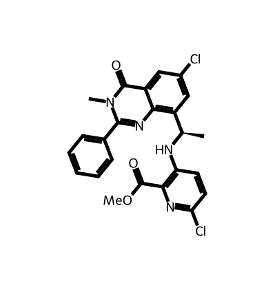 COC(=O)c1nc(Cl)ccc1N[C@H](C)c1cc(Cl)cc2c(=O)n(C)c(-c3ccccc3)nc12